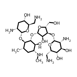 CN[C@@H]1C[C@H](C)[C@@H](O[C@H]2O[C@H](CN)[C@@H](O)C[C@H]2N)[C@H](O[C@@H]2O[C@H](CO)[C@@H](O[C@H]3O[C@@H](CN)[C@@H](O)[C@H](O)[C@H]3N)[C@H]2O)[C@H]1O